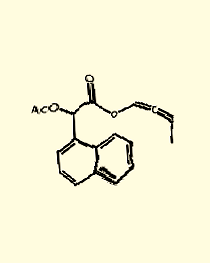 CC=C=COC(=O)C(OC(C)=O)c1cccc2ccccc12